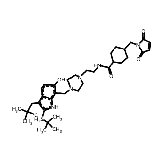 CC(C)(C)Cc1c(SC(C)(C)C)[nH]c2c(CN3CCN(CCNC(=O)C4CCC(CN5C(=O)C=CC5=O)CC4)CC3)c(O)ccc12